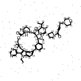 CCn1c(-c2cncnc2)c2c3cc(ccc31)-c1cccc(c1)[C@H](OC)[C@H](NC(=O)C(C(C)C)N(C)C(=O)[C@H]1CCN(C(=O)C#CCN3CCOCC3)C1)C(=O)N1CCC[C@H](N1)C(=O)OCC(C)(C)C2